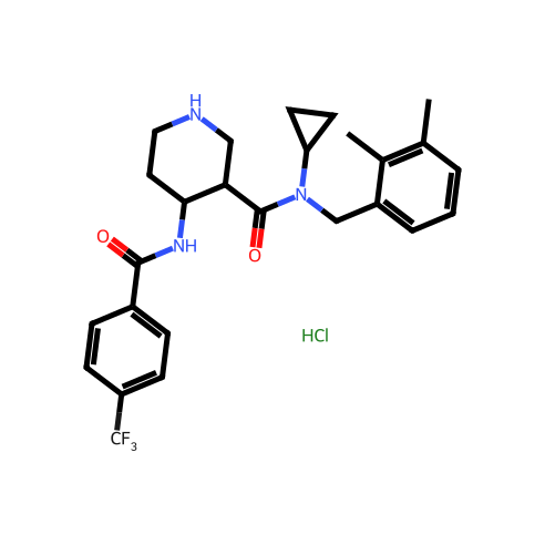 Cc1cccc(CN(C(=O)C2CNCCC2NC(=O)c2ccc(C(F)(F)F)cc2)C2CC2)c1C.Cl